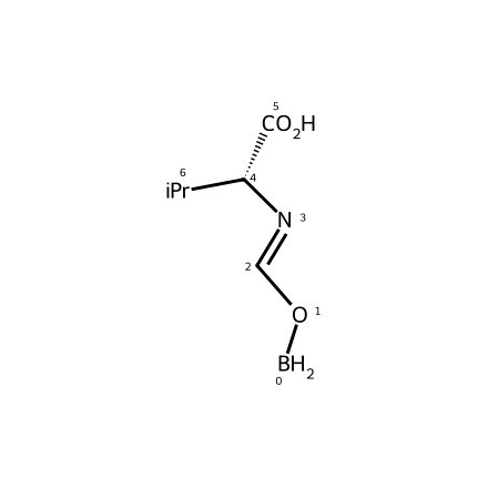 BOC=N[C@@H](C(=O)O)C(C)C